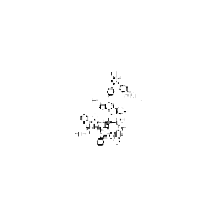 CC(=O)O[C@@]12CO[C@@H]1C[C@H](O)[C@@]1(C)C(=O)[C@H](O)C3=C(C)[C@@H](OC(=O)[C@H](O)[C@@H](NC(=O)OC(C)(C)C)c4ccccc4)C[C@@](O)([C@@H](OC(=O)c4ccccc4)[C@H]21)C3(C)C.C[C@]12CC[C@H]3[C@@H](CCC4=CC(=O)CC[C@@]43C)[C@@H]1CC[C@H]2O.Cc1ccc(-c2cc(C(F)(F)F)nn2-c2ccc(S(N)(=O)=O)cc2)cc1